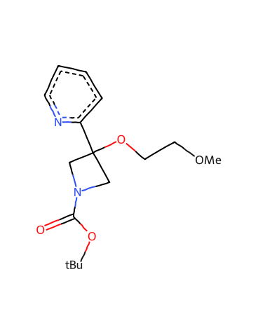 COCCOC1(c2ccccn2)CN(C(=O)OC(C)(C)C)C1